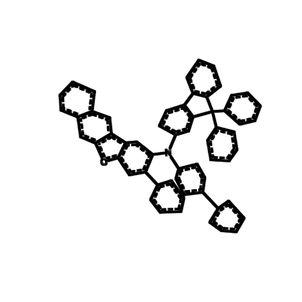 c1ccc(-c2ccc(N(c3ccc4c(c3)C(c3ccccc3)(c3ccccc3)c3ccccc3-4)c3cc4c(cc3-c3ccccc3)oc3cc5ccccc5cc34)cc2)cc1